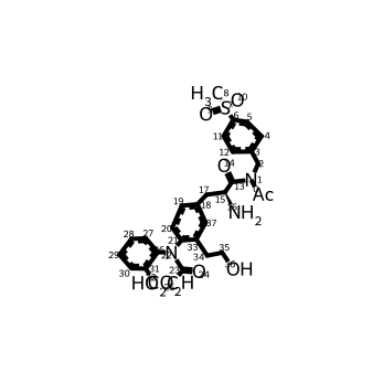 CC(=O)N(Cc1ccc(S(C)(=O)=O)cc1)C(=O)[C@@H](N)Cc1ccc(N(C(=O)C(=O)O)c2ccccc2C(=O)O)c(CCO)c1